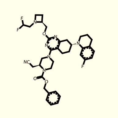 N#CC[C@H]1CN(c2nc(OC[C@@H]3CCN3CC(F)F)nc3c2CC[C@@H](N2CCCc4ccc(F)cc42)C3)CCN1C(=O)OCc1ccccc1